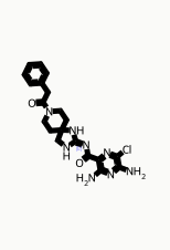 Nc1nc(N)c(C(=O)/N=C2\NCC3(CCN(C(=O)Cc4ccccc4)CC3)N2)nc1Cl